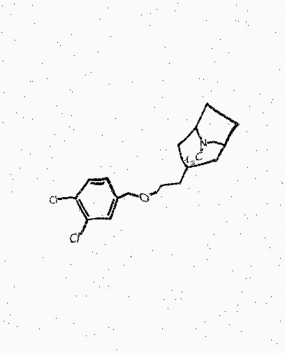 CN1C2CCC1CC(CCOc1ccc(Cl)c(Cl)c1)C2